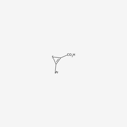 CC(C)C1=C(C(=O)O)S1